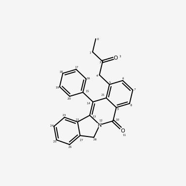 CCC(=O)Cc1cccc2c(=O)n3c(c(-c4ccccc4)c12)-c1ccccc1C3